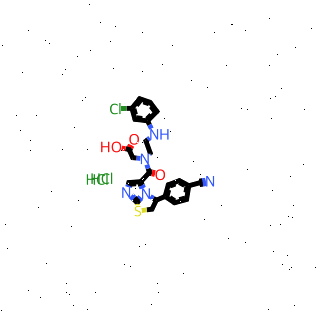 Cl.Cl.N#Cc1ccc(C2CSc3ncc(C(=O)N(CCNc4cccc(Cl)c4)CC(=O)O)n32)cc1